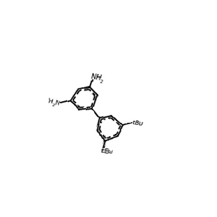 CC(C)(C)c1cc(-c2cc(N)cc(N)c2)cc(C(C)(C)C)c1